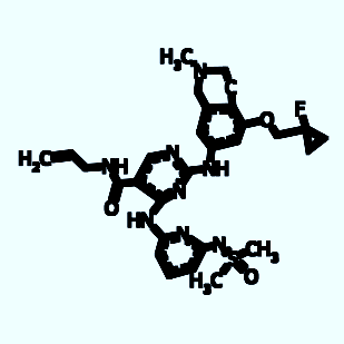 C=CCNC(=O)c1cnc(Nc2cc3c(c(OCC4(F)CC4)c2)CCN(C)C3)nc1Nc1cccc(N=S(C)(C)=O)n1